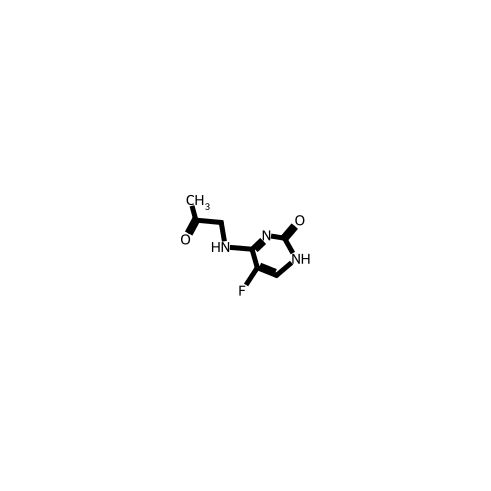 CC(=O)CNc1nc(=O)[nH]cc1F